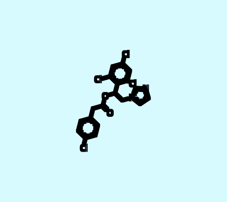 O=C(Cc1ccc(Cl)cc1)OC(Cn1ccnc1)c1c(Cl)cc(Cl)cc1Cl